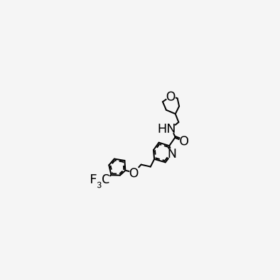 O=C(NCC1CCOCC1)c1ccc(CCOc2cccc(C(F)(F)F)c2)cn1